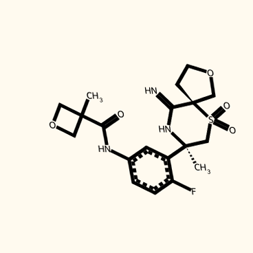 CC1(C(=O)Nc2ccc(F)c([C@]3(C)CS(=O)(=O)[C@]4(CCOC4)C(=N)N3)c2)COC1